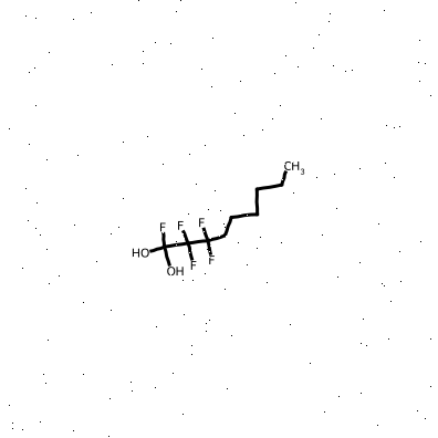 CCCCCCC(F)(F)C(F)(F)C(O)(O)F